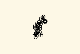 COC(=O)c1ccccc1COP1(=O)OC[C@@H]2O[C@H](n3cc(C)c(=O)[nH]c3=O)[C@H](F)[C@H]2O1